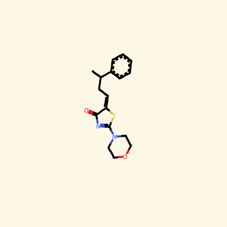 CC(C/C=C1/SC(N2CCOCC2)=NC1=O)c1ccccc1